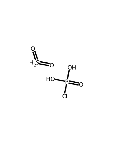 O=P(O)(O)Cl.O=[SH2]=O